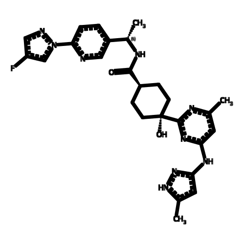 Cc1cc(Nc2cc(C)[nH]n2)nc([C@]2(O)CC[C@H](C(=O)N[C@@H](C)c3ccc(-n4cc(F)cn4)nc3)CC2)n1